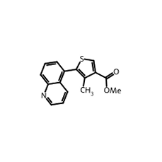 COC(=O)c1csc(-c2cccc3ncccc23)c1C